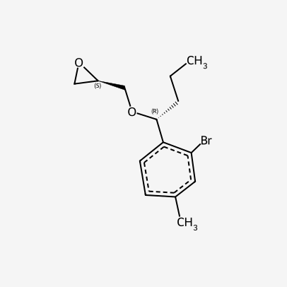 CCC[C@@H](OC[C@H]1CO1)c1ccc(C)cc1Br